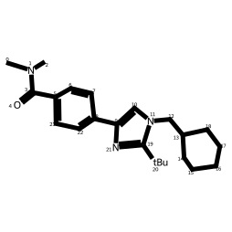 CN(C)C(=O)c1ccc(-c2cn(CC3CCCCC3)c(C(C)(C)C)n2)cc1